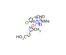 CCN1C(C(=O)NC)=C(N(C=O)Cc2ccc(Cl)cc2)NC1COc1ncc(-c2ccc(C(=O)O)s2)cc1C